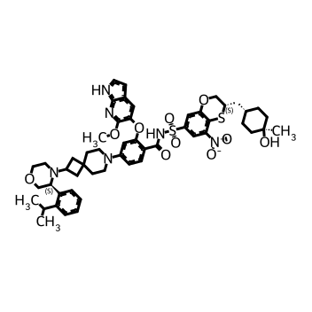 COc1nc2[nH]ccc2cc1Oc1cc(N2CCC3(CC2)CC(N2CCOC[C@@H]2c2ccccc2C(C)C)C3)ccc1C(=O)NS(=O)(=O)c1cc2c(c([N+](=O)[O-])c1)S[C@@H](C[C@H]1CC[C@](C)(O)CC1)CO2